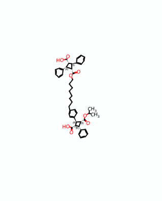 CC(C)OC(=O)[C@@H]1[C@H](c2ccccc2)[C@H](C(=O)O)[C@H]1c1ccc(CCCCCCCCOC(=O)[C@H]2[C@H](c3ccccc3)[C@@H](C(=O)O)[C@H]2c2ccccc2)cc1